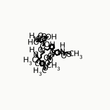 COCC(=O)NN1CCC(CO[N+](=O)[O-])(Oc2ccccc2CCN(C)CCCC(C#N)(c2ccc(OC)c(OC)c2)C(C)C)CC1.O.O=C(O)CC(O)(CC(=O)O)C(=O)O